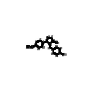 CSc1ccc(C2SCC(=O)N2Cc2ccc(F)cc2)cc1